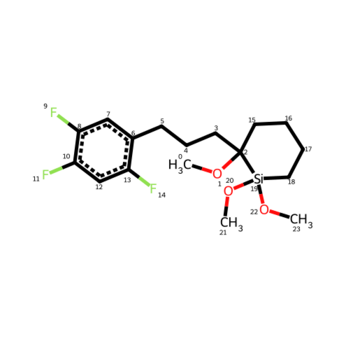 COC1(CCCc2cc(F)c(F)cc2F)CCCC[Si]1(OC)OC